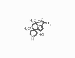 CN1CC(C)(C)n2c(C(=O)C(F)(F)F)ccc2C12CCNCC2.Cl.Cl